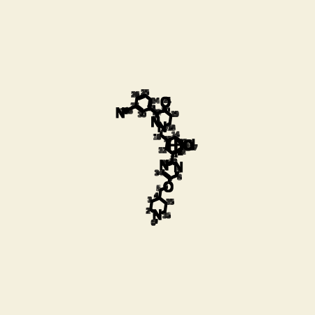 CN1CCC(COc2cnc(-c3cccc(CN4CCC(=O)C(c5cccc(C#N)c5)=N4)c3)nc2)CC1.Cl.O